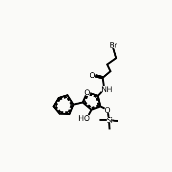 C[Si](C)(C)Oc1c(NC(=O)CCCBr)oc(-c2ccccc2)c1O